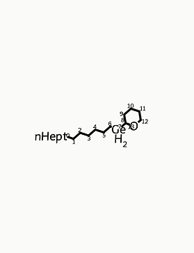 CCCCCCCCCCCC[CH2][GeH2][CH]1CCCCO1